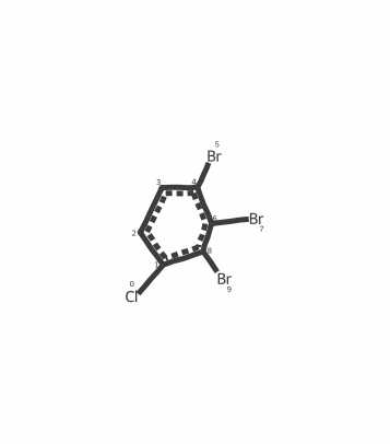 Clc1ccc(Br)c(Br)c1Br